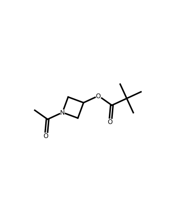 CC(=O)N1CC(OC(=O)C(C)(C)C)C1